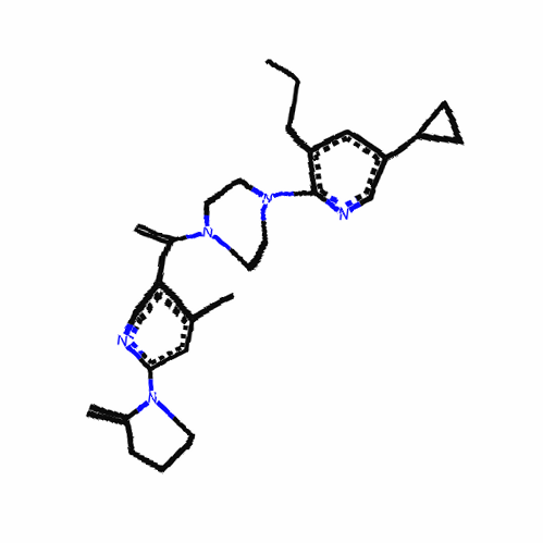 C=C(c1cnc(N2CCCC2=C)cc1C)N1CCN(c2ncc(C3CC3)cc2CCC)CC1